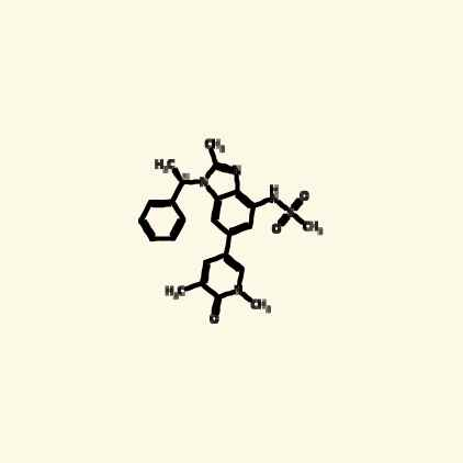 Cc1cc(-c2cc(NS(C)(=O)=O)c3nc(C)n([C@H](C)c4ccccc4)c3c2)cn(C)c1=O